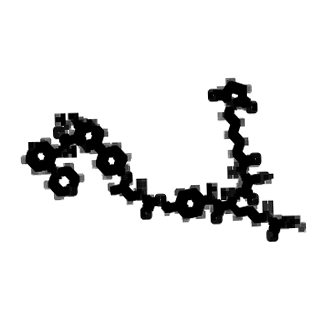 CC(CNC(=O)OCc1ccc(NC(=O)[C@H](CCCNC(N)=O)NC(=O)C(NC(=O)CCCCCN2C(=O)C=CC2=O)C(C)C)cc1)Oc1ccc(-c2cnc(N)c(C(=O)Nc3cnccc3N3CCOCC3)n2)cc1